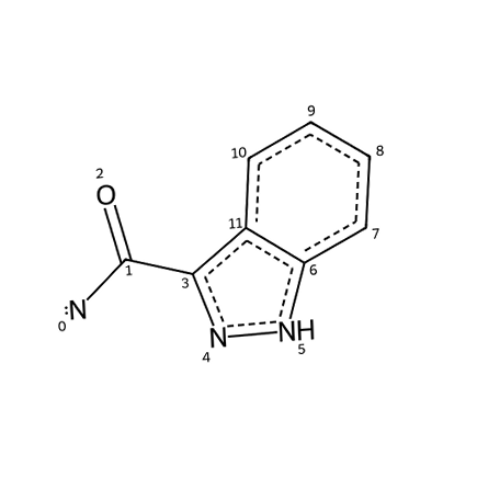 [N]C(=O)c1n[nH]c2ccccc12